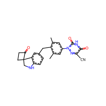 Cc1cc(-n2nc(C#N)c(=O)[nH]c2=O)cc(C)c1Cc1ccc2c(c1)C1(CCC1=O)CN2